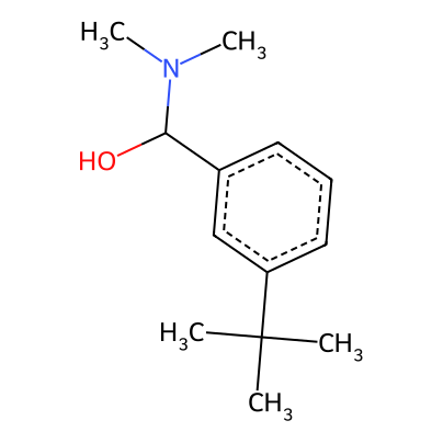 CN(C)C(O)c1cccc(C(C)(C)C)c1